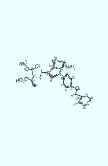 CC(C)(C)OC(=O)[C@H](CCn1cc(-c2ccc(OCc3ccccc3)cc2)c2c(N)ncnc21)C(=N)C(=O)O